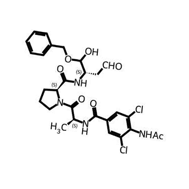 CC(=O)Nc1c(Cl)cc(C(=O)N[C@@H](C)C(=O)N2CCC[C@H]2C(=O)N[C@@H](CC=O)C(O)OCc2ccccc2)cc1Cl